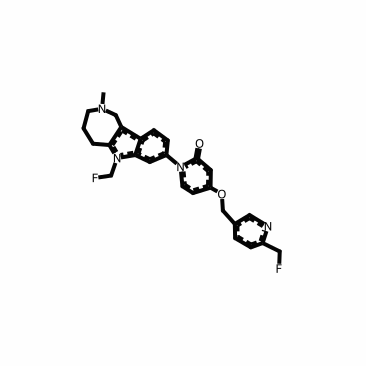 CN1CCCc2c(c3ccc(-n4ccc(OCc5ccc(CF)nc5)cc4=O)cc3n2CF)C1